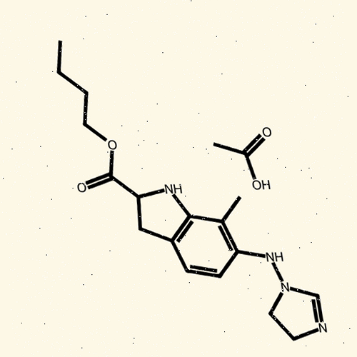 CC(=O)O.CCCCOC(=O)C1Cc2ccc(NN3C=NCC3)c(C)c2N1